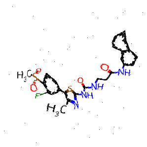 Cc1nc(NC(=O)NCCC(=O)Nc2ccc3ccccc3c2)sc1-c1ccc(S(C)(=O)=O)c(F)c1